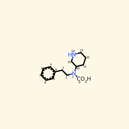 O=C(O)N(CCc1ccccc1)C1CCCNC1